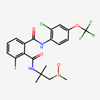 C[S+]([O-])CC(C)(C)NC(=O)c1c(I)cccc1C(=O)Nc1ccc(OC(F)(F)F)cc1Cl